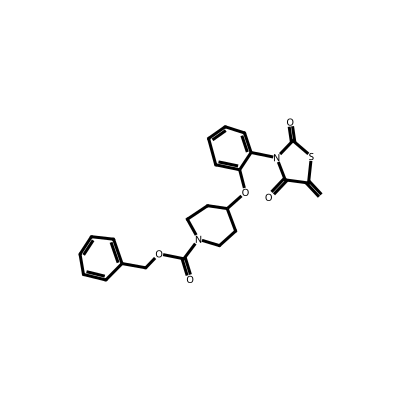 C=C1SC(=O)N(c2ccccc2OC2CCN(C(=O)OCc3ccccc3)CC2)C1=O